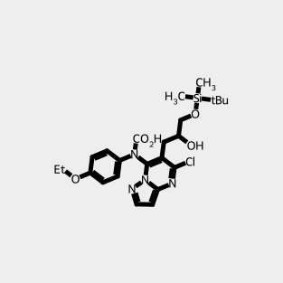 CCOc1ccc(N(C(=O)O)c2c(CC(O)CO[Si](C)(C)C(C)(C)C)c(Cl)nc3ccnn23)cc1